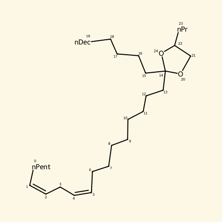 CCCCC/C=C\C/C=C\CCCCCCCCC1(CCCCCCCCCCCCCC)OCC(CCC)O1